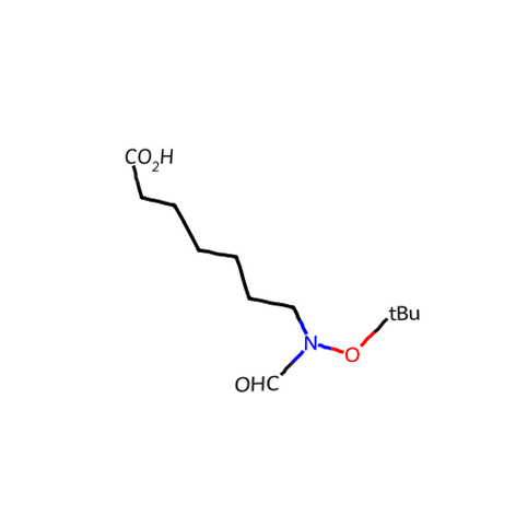 CC(C)(C)ON(C=O)CCCCCCC(=O)O